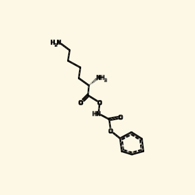 NCCCC[C@H](N)C(=O)ONC(=O)Oc1ccccc1